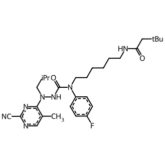 Cc1cnc(C#N)nc1N(CC(C)C)NC(=O)N(CCCCCCNC(=O)CC(C)(C)C)c1ccc(F)cc1